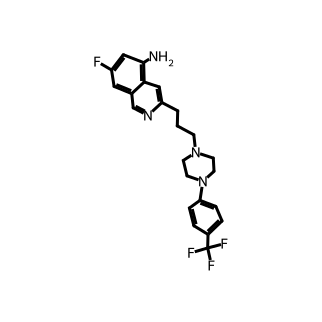 Nc1cc(F)cc2cnc(CCCN3CCN(c4ccc(C(F)(F)F)cc4)CC3)cc12